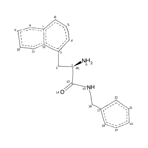 N[C@H](Cc1cccc2ccccc12)C(=O)NCc1ccccc1